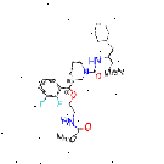 CNCC(CC1CCCCC1)NC(=O)N1CCC[C@@H]([C@@H](OCCNC(=O)OC)c2cccc(F)c2F)C1